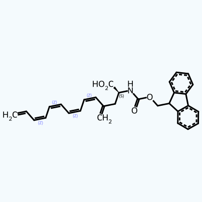 C=C\C=C/C=C\C=C/C=C\C(=C)C[C@H](NC(=O)OCC1c2ccccc2-c2ccccc21)C(=O)O